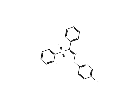 O=S(=O)(C(=CNc1ccc(Br)cn1)c1ccccc1)c1ccccc1